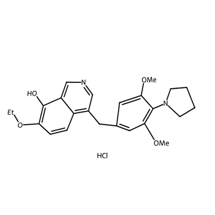 CCOc1ccc2c(Cc3cc(OC)c(N4CCCC4)c(OC)c3)cncc2c1O.Cl